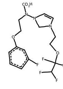 O=C(O)N(CCOc1cccc(F)c1)N1C=CN(CCOC(F)(F)C(F)F)C1